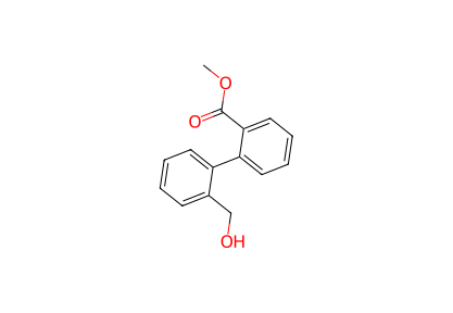 COC(=O)c1ccccc1-c1ccccc1CO